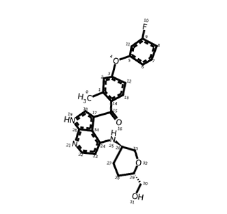 Cc1cc(Oc2cccc(F)c2)ccc1C(=O)c1c[nH]c2nccc(N[C@@H]3CC[C@@H](CO)OC3)c12